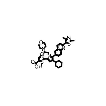 Cc1nc(C)c(-c2ccc3cc(-c4c(C5CCCCC5)cc(-c5ncc(C(=O)O)s5)n4CC(=O)N4CCOCC4)ccc3n2)s1